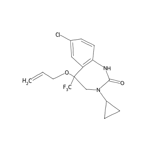 C=CCOC1(C(F)(F)F)CN(C2CC2)C(=O)Nc2ccc(Cl)cc21